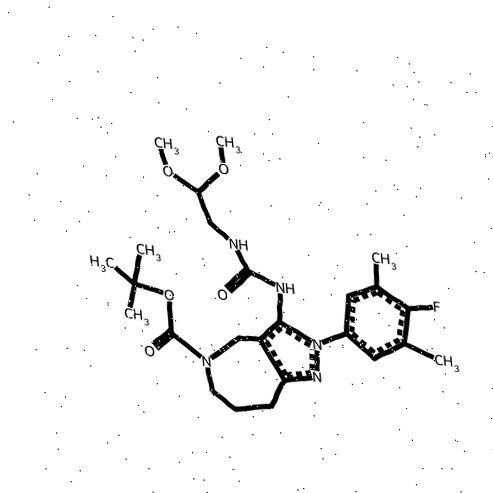 COC(CNC(=O)Nc1c2c(nn1-c1cc(C)c(F)c(C)c1)CCCN(C(=O)OC(C)(C)C)C2)OC